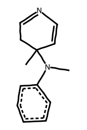 CN(c1ccccc1)C1(C)C=CN=CC1